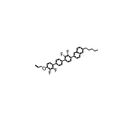 C=CCOc1ccc(-c2ccc(-c3ccc(-c4ccc5cc(CCCCC)ccc5c4)c(F)c3F)cc2)c(F)c1F